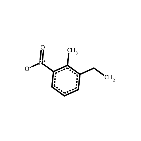 [CH2]Cc1cccc([N+](=O)[O-])c1C